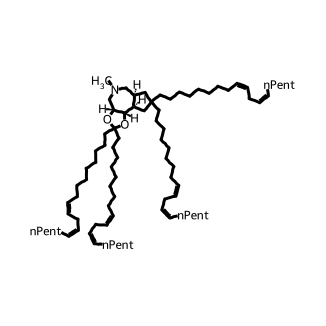 CCCCC/C=C\C/C=C\CCCCCCCCC1(CCCCCCCC/C=C\C/C=C\CCCCC)C[C@@H]2CN(C)C[C@H]3OC(CCCCCCCC/C=C\C/C=C\CCCCC)(CCCCCCCC/C=C\C/C=C\CCCCC)O[C@H]3[C@@H]2C1